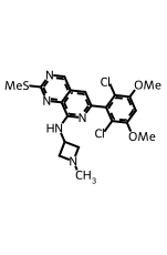 COc1cc(OC)c(Cl)c(-c2cc3cnc(SC)nc3c(NC3CN(C)C3)n2)c1Cl